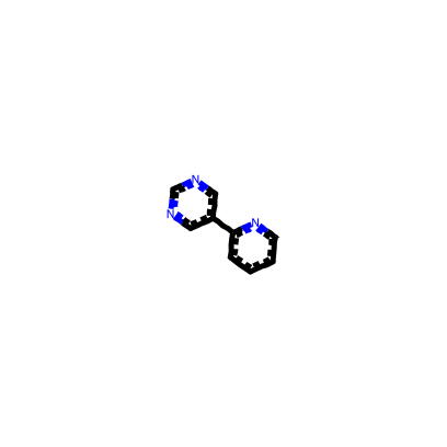 [c]1cccc(-c2cncnc2)n1